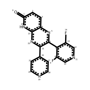 O=c1ccc2nc(-c3c(F)cncc3F)c(-c3ccncc3)nc2[nH]1